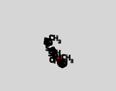 Cc1ccc(Sc2ccc(C(=O)N[C@@H]3C4CCN(CC4)[C@H]3C)s2)o1